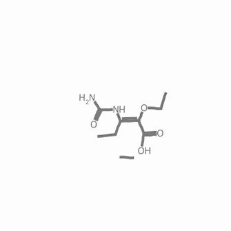 CC.CCOC(C(=O)O)=C(CC)NC(N)=O